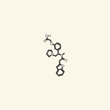 CN(C(=O)Cc1cc2ccccc2o1)C(CN1CCCC1)c1cccc(OCC(=O)O)c1